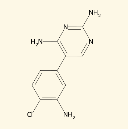 Nc1ncc(-c2ccc(Cl)c(N)c2)c(N)n1